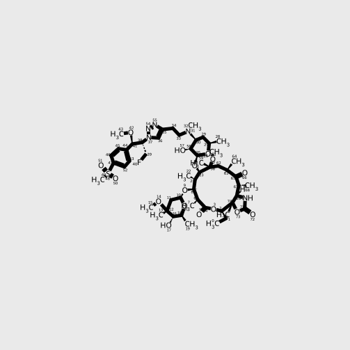 CC[C@H]1OC(=O)[C@H](C)[C@@H](O[C@H]2C[C@@](C)(OC)[C@@H](O)[C@H](C)O2)[C@H](C)[C@@H](O[C@@H]2O[C@H](C)C[C@H](N(C)CCc3cn([C@H](CF)[C@H](OC)c4ccc(S(C)(=O)=O)cc4)nn3)[C@H]2O)[C@](C)(OC)C[C@@H](C)C(=O)[C@H](C)[C@H]2NC(=O)O[C@@]21C